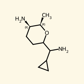 C[C@H]1OC(C(N)C2CC2)CC[C@H]1N